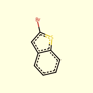 Brc1cc2ccc[c]c2s1